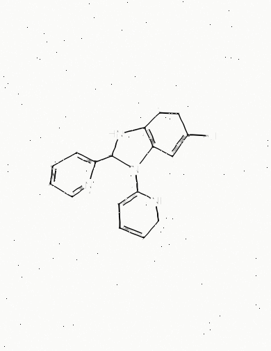 CC1=CC2=C(CC1)NC(c1ccccn1)N2C1=CC=CCN1